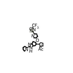 CC(=O)N1CCCC1c1cc2[nH]c(-c3ccccn3)nc2cc1Oc1ccc(-c2noc(C(F)(F)F)n2)nc1